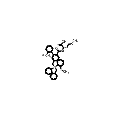 COc1ccccc1[N+](Cc1ccccc1)(Cc1ccc(C(=O)N[C@@H](CCSC)C(=O)O)c(-c2ccccc2C)c1)c1ccccc1.[LiH]